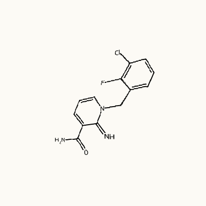 N=c1c(C(N)=O)cccn1Cc1cccc(Cl)c1F